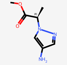 COC(=O)[C@@H](C)n1cc(N)cn1